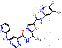 CC(NC(=O)c1cc(Nc2ccccn2)ncn1)c1ncc(C(=O)Nc2cc(C(F)(F)F)c(Cl)cn2)s1